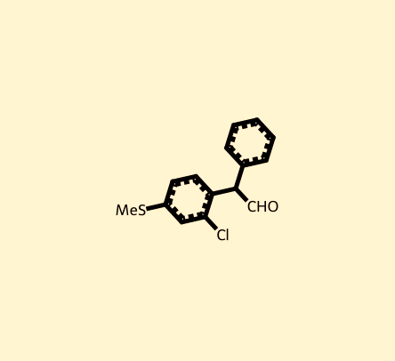 CSc1ccc(C(C=O)c2ccccc2)c(Cl)c1